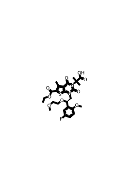 CCOC(=O)c1sc2c(c1C)c(=O)n(C(C)(C)C(=O)O)c(=O)n2C[C@H](OCCOC)c1cc(F)ccc1OC